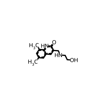 Cc1cc(C)c2[nH]c(=O)c(CNCCO)cc2c1